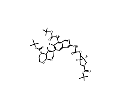 Cc1c(-c2cc3cc(NC(=O)OC4[C@H]5CN(C(=O)OC(C)(C)C)C[C@@H]45)ncc3c(NC(=O)OC(C)(C)C)c2F)cnc2c1N(C(=O)OC(C)(C)C)CCO2